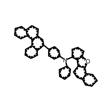 c1ccc(N(c2ccc(-c3cc4ccc5ccccc5c4c4ccccc34)cc2)c2cccc3oc4c5ccccc5ccc4c23)cc1